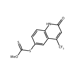 COC(=S)Sc1ccc2[nH]c(=O)cc(C(F)(F)F)c2c1